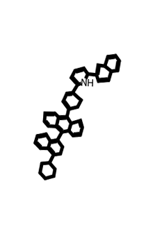 C1=CC(C2=CC3C=CC=CC3C=C2)NC(C2=CC=C(C3=c4ccccc4=C(C4=c5ccccc5=C(C5CCCCC5)CC4)C4C=CC=CC34)CC2)=C1